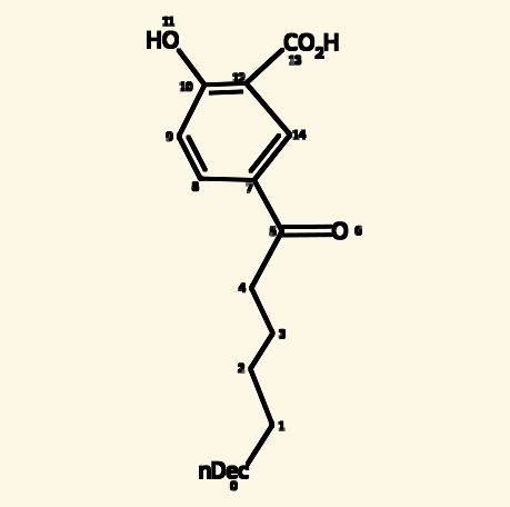 CCCCCCCCCCCCCCC(=O)c1ccc(O)c(C(=O)O)c1